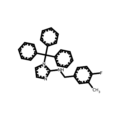 Cc1cc(CNc2nccn2C(c2ccccc2)(c2ccccc2)c2ccccc2)ccc1F